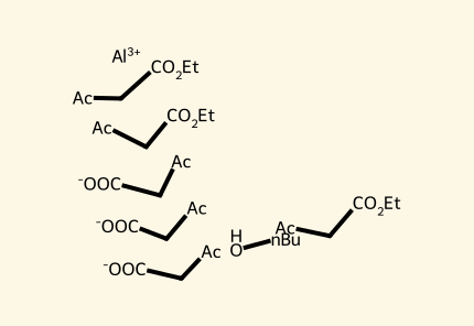 CC(=O)CC(=O)[O-].CC(=O)CC(=O)[O-].CC(=O)CC(=O)[O-].CCCCO.CCOC(=O)CC(C)=O.CCOC(=O)CC(C)=O.CCOC(=O)CC(C)=O.[Al+3]